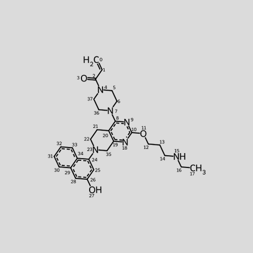 C=CC(=O)N1CCN(c2nc(OCCCNCC)nc3c2CCN(c2cc(O)cc4ccccc24)C3)CC1